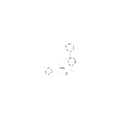 C/C(Nc1ccn(C)n1)=C1/C(=O)Nc2ccc(-c3cnccc3C)nc21